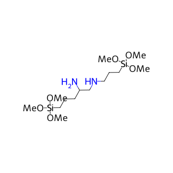 CO[Si](CCCNCC(N)CCC[Si](OC)(OC)OC)(OC)OC